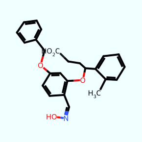 Cc1ccccc1C(CCC(=O)O)Oc1cc(OCc2ccccc2)ccc1/C=N\O